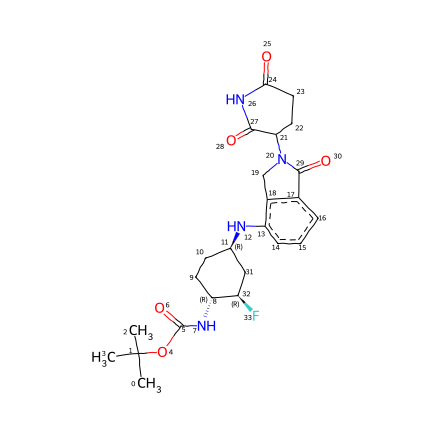 CC(C)(C)OC(=O)N[C@@H]1CC[C@@H](Nc2cccc3c2CN(C2CCC(=O)NC2=O)C3=O)C[C@H]1F